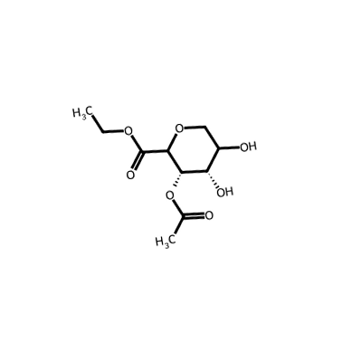 CCOC(=O)C1OCC(O)[C@H](O)[C@@H]1OC(C)=O